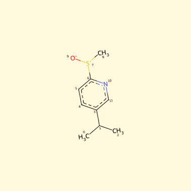 CC(C)c1ccc([S+](C)[O-])nc1